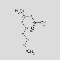 C=C(CCCCCC)CC(=O)O